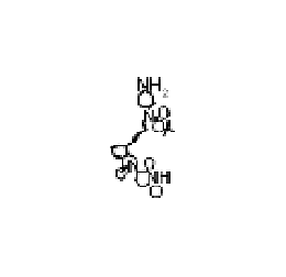 CC(C)(C)OC(=O)N(CCC#Cc1cccc2c1CN(C1CCC(=O)NC1=O)C2=O)[C@H]1CC[C@@H](N)CC1